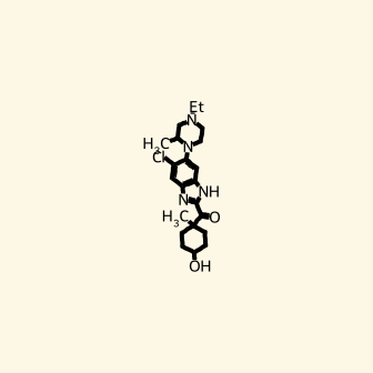 CCN1CCN(c2cc3[nH]c(C(=O)C4(C)CCC(O)CC4)nc3cc2Cl)C(C)C1